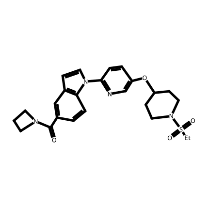 CCS(=O)(=O)N1CCC(Oc2ccc(-n3ccc4cc(C(=O)N5CCC5)ccc43)nc2)CC1